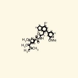 COc1cc(-c2cc(F)c3c(c2CC(=O)NS(=O)(=O)c2cc(C(C)N(C)C)n(C)n2)CCC3)ccn1